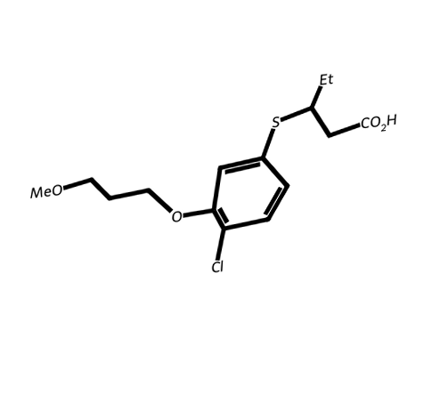 CCC(CC(=O)O)Sc1ccc(Cl)c(OCCCOC)c1